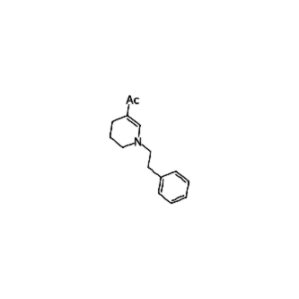 CC(=O)C1=CN(CCc2ccccc2)CCC1